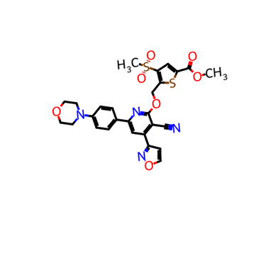 COC(=O)c1cc(S(C)(=O)=O)c(COc2nc(-c3ccc(N4CCOCC4)cc3)cc(-c3ccon3)c2C#N)s1